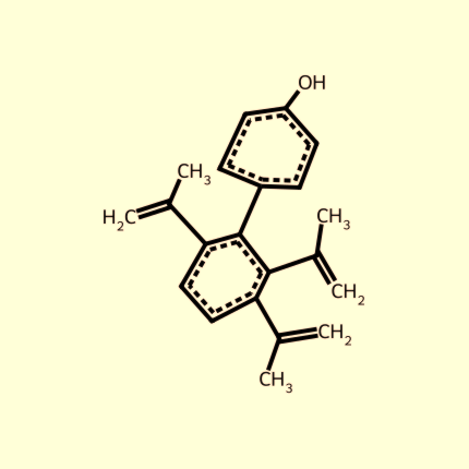 C=C(C)c1ccc(C(=C)C)c(-c2ccc(O)cc2)c1C(=C)C